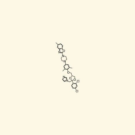 Cc1ccc2oc(N3CCN(c4cc(C)c(OCC5COC(Cn6ccnc6)(c6ccc(Cl)cc6Cl)O5)c(C)c4)CC3)nc2c1